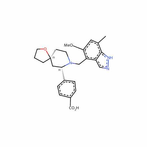 COc1cc(C)c2[nH]ncc2c1CN1CC[C@@]2(CCCO2)C[C@H]1c1ccc(C(=O)O)cc1